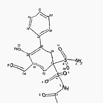 CC(=O)NS(=O)(=O)C1(S(N)(=O)=O)C=C(C=O)C(O)=C(c2ccccc2)C1